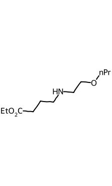 CCCOCCNCCCC(=O)OCC